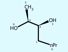 CCCC[C@H](O)[C@H](C)O